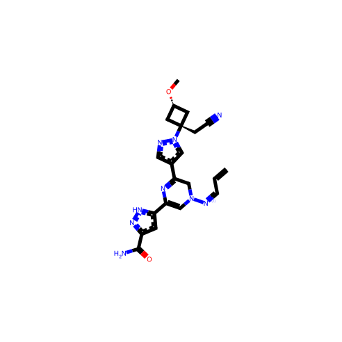 C=C/C=N\N1C=C(c2cc(C(N)=O)n[nH]2)N=C(c2cnn([C@]3(CC#N)C[C@H](OC)C3)c2)C1